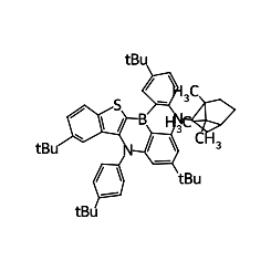 CC(C)(C)c1ccc(N2c3cc(C(C)(C)C)cc4c3B(c3cc(C(C)(C)C)ccc3N4C3CC4CCC3(C)C4(C)C)c3sc4ccc(C(C)(C)C)cc4c32)cc1